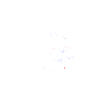 CC(C)(C)OC(=O)NCCc1ccccc1CC(=O)c1[nH]cnc1C(=O)Nc1nc2ccccc2[nH]1